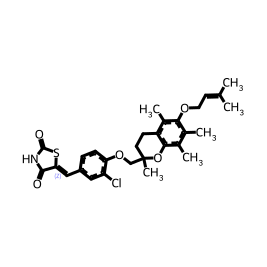 CC(C)=CCOc1c(C)c(C)c2c(c1C)CCC(C)(COc1ccc(/C=C3\SC(=O)NC3=O)cc1Cl)O2